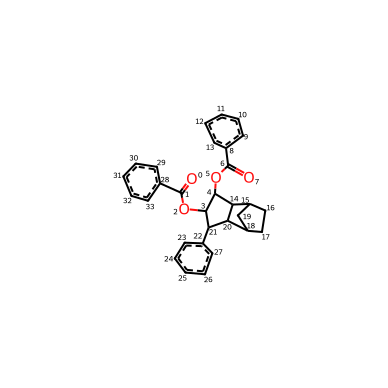 O=C(OC1C(OC(=O)c2ccccc2)C2C3CCC(C3)C2C1c1ccccc1)c1ccccc1